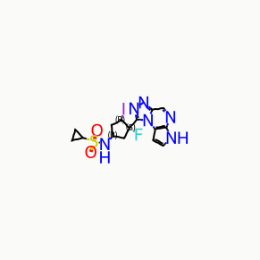 O=S(=O)(N[C@H]1C[C@@H](I)[C@@](F)(c2nnc3cnc4[nH]ccc4n23)C1)C1CC1